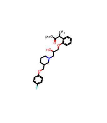 COC(=O)C(C)c1ccccc1OCC(O)CN1CCCC(COc2ccc(F)cc2)C1